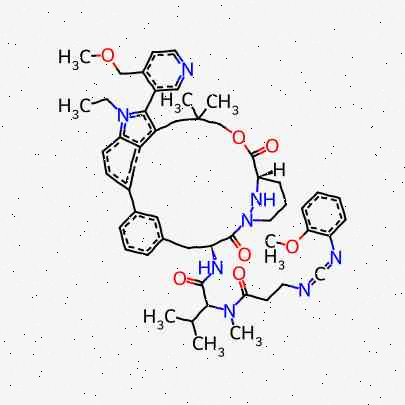 CCn1c(-c2cnccc2COC)c2c3cc(ccc31)-c1cccc(c1)C[C@H](NC(=O)C(C(C)C)N(C)C(=O)CCN=C=Nc1ccccc1OC)C(=O)N1CCC[C@H](N1)C(=O)OCC(C)(C)C2